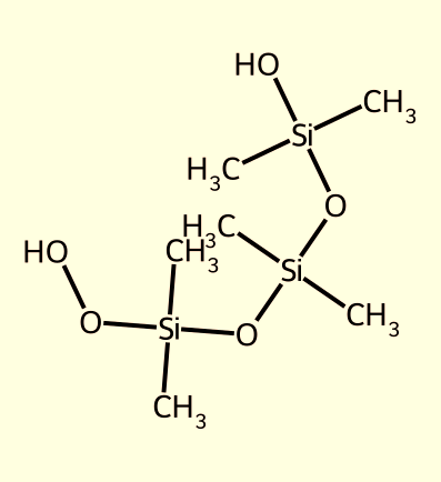 C[Si](C)(O)O[Si](C)(C)O[Si](C)(C)OO